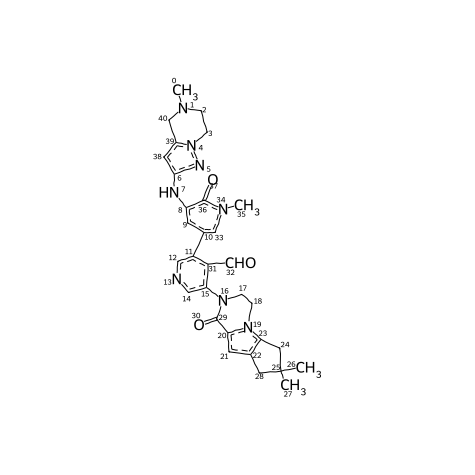 CN1CCn2nc(Nc3cc(-c4cncc(N5CCn6c(cc7c6CC(C)(C)C7)C5=O)c4C=O)cn(C)c3=O)cc2C1